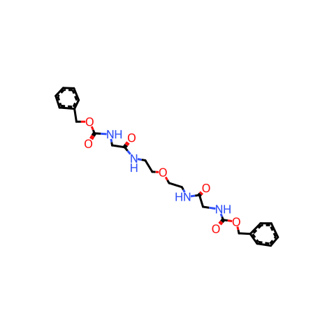 O=C(CNC(=O)OCc1ccccc1)NCCOCCNC(=O)CNC(=O)OCc1ccccc1